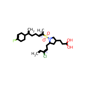 C=C/C(Cl)=C\CC1CC(CCC(O)O)CN1S(=O)(=O)/C(C)=C/CCC(=C)C1CC=C(F)CC1